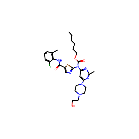 CCCCCCOC(=O)N(c1cc(N2CCN(CCO)CC2)nc(C)n1)c1ncc(C(=O)Nc2c(C)cccc2Cl)s1